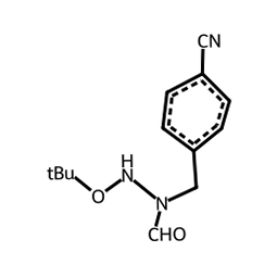 CC(C)(C)ONN(C=O)Cc1ccc(C#N)cc1